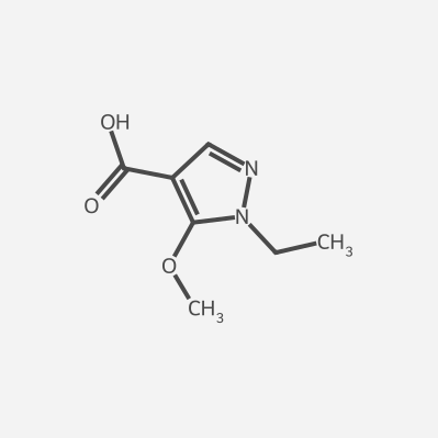 CCn1ncc(C(=O)O)c1OC